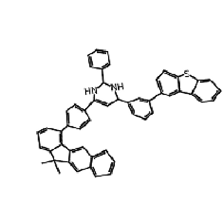 CC1(C)c2cc3ccccc3cc2-c2c(-c3ccc(C4=CC(c5cccc(-c6ccc7sc8ccccc8c7c6)c5)NC(c5ccccc5)N4)cc3)cccc21